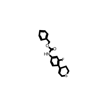 O=C(Nc1ccc(C2=CCSCC2)c(F)c1)OCc1ccccc1